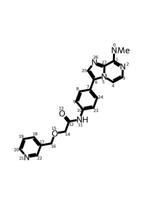 CNc1nccn2c(-c3ccc(NC(=O)COCc4cccnc4)cc3)cnc12